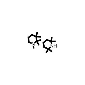 CC1(C)CCCC(C)(C)N1.CN1CCCC(C)(C)C1(C)C